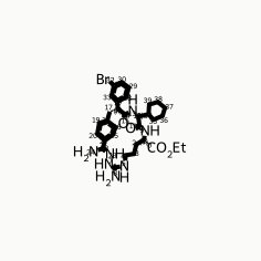 CCOC(=O)[C@H](CCCNC(=N)N)NC(=O)[C@@H](NC(=O)[C@H](Cc1ccc(C(=N)N)cc1)c1cccc(Br)c1)C1CCCCC1